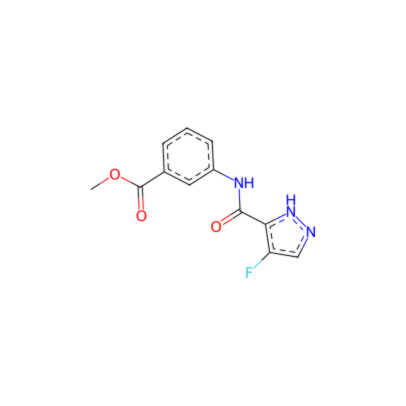 COC(=O)c1cccc(NC(=O)c2[nH]ncc2F)c1